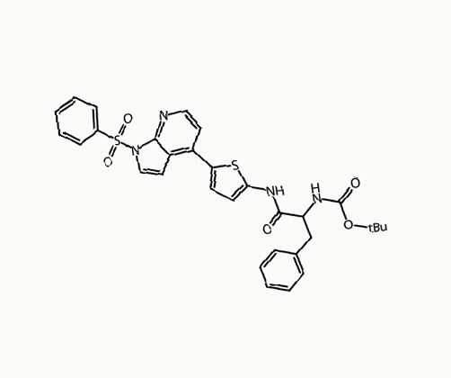 CC(C)(C)OC(=O)NC(Cc1ccccc1)C(=O)Nc1ccc(-c2ccnc3c2ccn3S(=O)(=O)c2ccccc2)s1